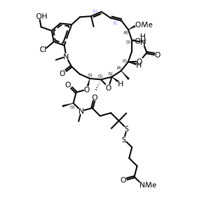 CNC(=O)CCCSSC(C)(C)CCC(=O)N(C)[C@@H](C)C(=O)O[C@H]1CC(=O)N(C)c2cc(cc(CO)c2Cl)C/C(C)=C/C=C/[C@@H](OC)[C@@]2(O)C[C@H](OC(=O)N2)[C@@H](C)[C@@H]2O[C@@]12C